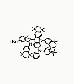 CC(C)(C)c1ccc2sc3c(c2c1)N(c1ccc2c(c1)C(C)(C)CCC2(C)C)c1cc(N(c2ccccc2)c2ccc([Si](C)(C)C)cc2)cc2c1B3c1cc3c(cc1N2c1ccc2c(c1)C(C)(C)CCC2(C)C)C(C)(C)CCC3(C)C